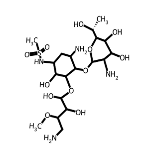 COC(CN)C(O)C(O)OC1C(O)C(NS(C)(=O)=O)CC(N)C1OC1OC([C@@H](C)O)C(O)C(O)C1N